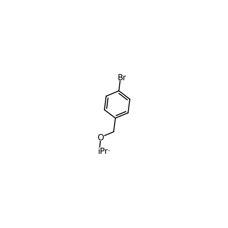 C[C](C)OCc1ccc(Br)cc1